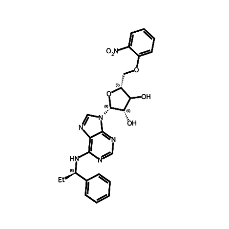 CC[C@@H](Nc1ncnc2c1ncn2[C@@H]1O[C@H](COc2ccccc2[N+](=O)[O-])C(O)[C@@H]1O)c1ccccc1